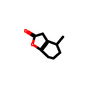 CC1CCCC2=C1CC(=O)O2